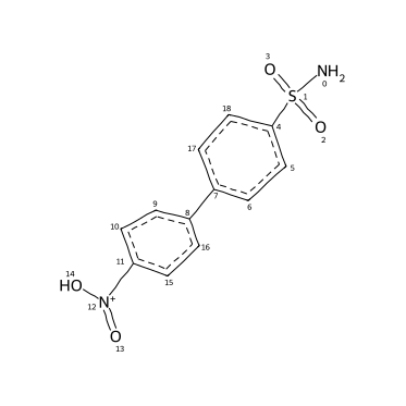 NS(=O)(=O)c1ccc(-c2ccc([N+](=O)O)cc2)cc1